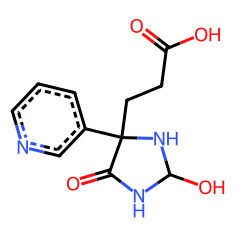 O=C(O)CCC1(c2cccnc2)NC(O)NC1=O